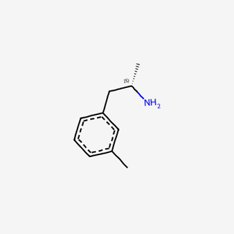 Cc1cccc(C[C@H](C)N)c1